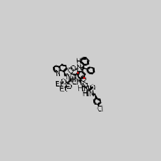 CCOC(OCC)C(C)N(Cc1cccc2cccnc12)C(=O)C(CC(=O)NC(c1ccccc1)(c1ccccc1)c1ccccc1)NC(=O)CONC(=O)NCc1ccc(Cl)cc1